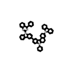 C1=CCC(n2c3c(c4cc(C5=CC6c7ccccc7N(c7nc(-c8ccccc8)c8c(n7)=CCCC=8)C6C=C5)ccc42)C2=C(C=C(N4C5=C(CCC=C5)C5C=CC=CC54)CC2)CC3)C=C1